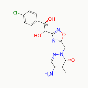 Cc1c(N)cnn(Cc2nc(C(O)[C@H](O)c3ccc(Cl)cc3)no2)c1=O